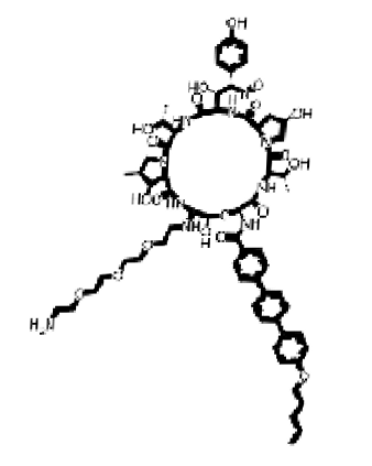 CCCCCOc1ccc(-c2ccc(-c3ccc(C(=O)N[C@H]4C[C@@H](O)C(NCCOCCOCCOCCN)NC(=O)C5[C@@H](O)[C@@H](C)CN5C(=O)C([C@@H](C)O)NC(=O)C([C@H](O)[C@@H](N=O)c5ccc(O)cc5)NC(=O)C5C[C@@H](O)CN5C(=O)C([C@@H](C)O)NC4=O)cc3)cc2)cc1